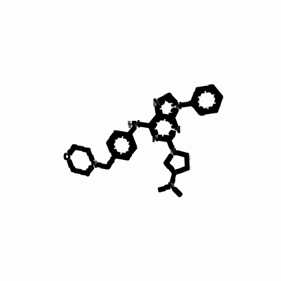 CN(C)C1CCN(c2nc(Nc3ccc(CN4CCOCC4)cc3)c3ncn(-c4ccccc4)c3n2)C1